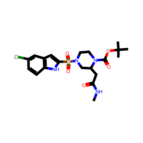 CNC(=O)CC1CN(S(=O)(=O)c2cc3cc(Cl)ccc3[nH]2)CCN1C(=O)OC(C)(C)C